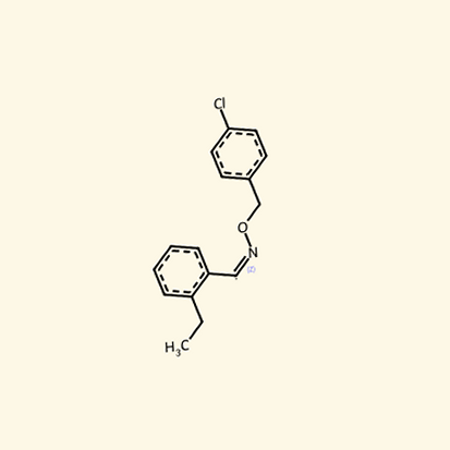 CCc1ccccc1/[C]=N\OCc1ccc(Cl)cc1